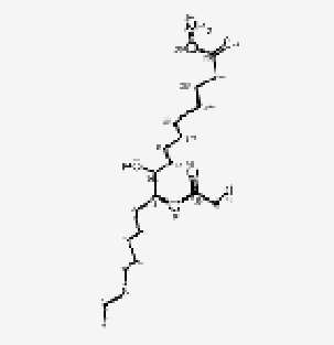 CCCCCCCCC(OC(=O)CCl)C(O)CCCCCCCC(=O)ON